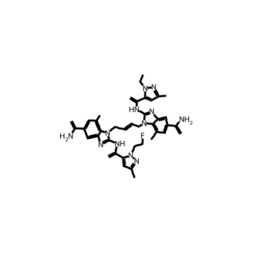 C=C(N)c1cc(C)c2c(c1)nc(NC(=C)c1cc(C)nn1CC)n2C/C=C/Cn1c(NC(=C)c2cc(C)nn2CCF)nc2cc(C(=C)N)cc(C)c21